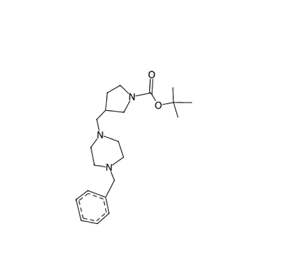 CC(C)(C)OC(=O)N1CCC(CN2CCN(Cc3ccccc3)CC2)C1